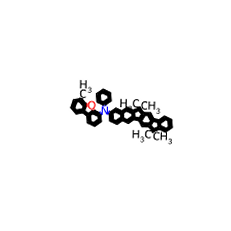 Cc1cccc2c1oc1c(N(c3ccccc3)c3ccc4cc5c(cc4c3)C(C)(C)c3cc4c(cc3-5)C(C)(C)c3ccccc3-4)cccc12